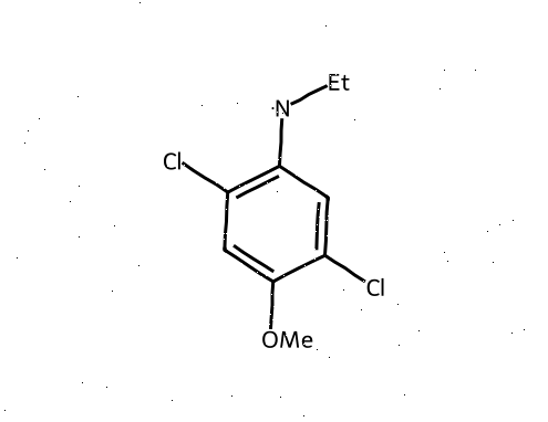 CC[N]c1cc(Cl)c(OC)cc1Cl